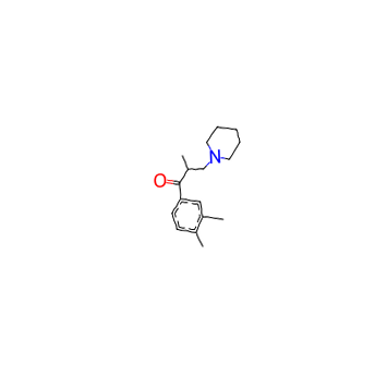 Cc1ccc(C(=O)C(C)CN2CCCCC2)cc1C